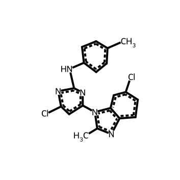 Cc1ccc(Nc2nc(Cl)cc(-n3c(C)nc4ccc(Cl)cc43)n2)cc1